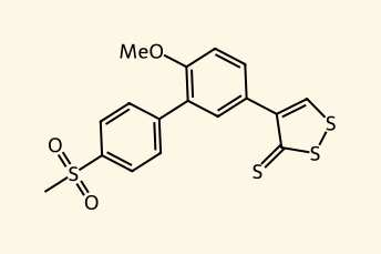 COc1ccc(-c2cssc2=S)cc1-c1ccc(S(C)(=O)=O)cc1